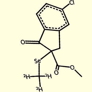 [2H]C([2H])([2H])[Se]C1(C(=O)OC)Cc2cc(Cl)ccc2C1=O